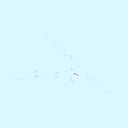 CCCCCCCCCCCCCCCCCCN(CCCCCCCCCCCCCCCCCC)N(CCCNCCCCNCCCN)C(=O)CN